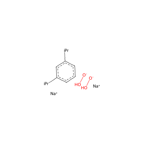 CC(C)c1cccc(C(C)C)c1.[Na+].[Na+].[O-]O.[O-]O